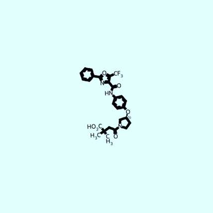 CC(C)(CC(=O)N1CC[C@H](Oc2ccc(NC(=O)c3nc(-c4ccccc4)oc3C(F)(F)F)cc2)C1)C(=O)O